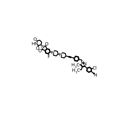 CCc1c(-c2ccc(C#N)c(Cl)c2)nn(Cc2ccc(C#CC3CCN(C4CCN(c5cc6c(cc5F)C(=O)N(C5CCC(=O)NC5=O)C6=O)CC4)CC3)cc2)c1C